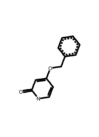 O=C1C=C(OCc2ccccc2)C=C[N]1